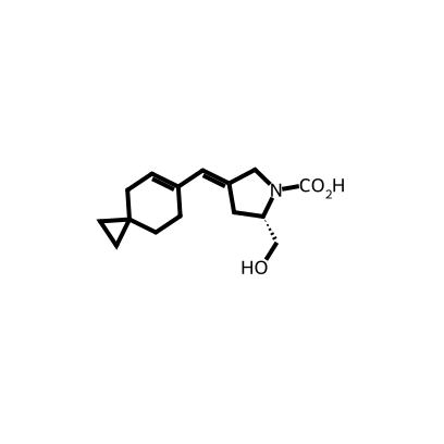 O=C(O)N1C/C(=C/C2=CCC3(CC2)CC3)C[C@H]1CO